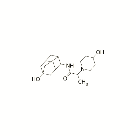 CC(C(=O)NC1C2CC3CC1CC(O)(C3)C2)N1CCC(O)CC1